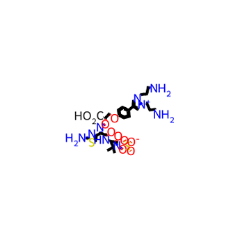 CC1(C)[C@H](NC(=O)/C(=N\O[C@@H](COc2ccc(-c3cn(CCCN)[n+](CCCN)c3)cc2)C(=O)O)c2csc(N)n2)C(=O)N1OS(=O)(=O)[O-]